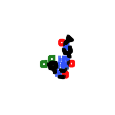 O=C(NCC1CCN(C(=O)C2CC2)CC1)NC[C@H]1CN(Cc2ccc(Cl)c(Cl)c2)CCO1